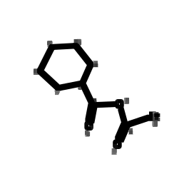 [CH2]CC(=O)OC(=O)C1CCCCC1